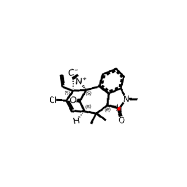 [C-]#[N+][C@]12C(=O)[C@H](C=C(Cl)[C@@]1(C)C=C)C(C)(C)[C@H]1C(=O)N(C)c3cccc2c31